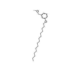 [CH2]OCc1c[c]cc(OCCCCCCCCCCCCCCCC)c1